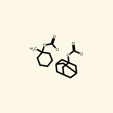 CC1(OC(=O)Cl)CCCCC1.O=C(Cl)OC12CC3CC(CC(C3)C1)C2